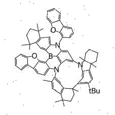 Cc1cc2c3cc1N1c4cc(cc5c4B(c4cc6c(cc4N5c4cccc5c4oc4ccccc45)C(C)(C)CCC6(C)C)c4c1ccc1c4oc4ccccc41)N1c4cc(c(C(C)(C)C)cc4C4(C)CCCCC14C)C3(C)CCC2(C)C